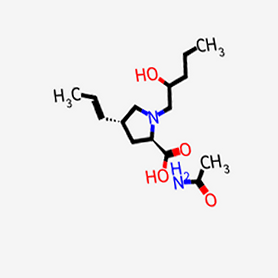 CC(N)=O.CC=C[C@H]1C[C@H](C(=O)O)N(CC(O)CCC)C1